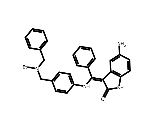 CCN(Cc1ccccc1)Cc1ccc(N/C(=C2\C(=O)Nc3ccc(N)cc32)c2ccccc2)cc1